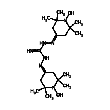 CC1(C)CC(=NNC(=N)NN=C2CC(C)(C)N(O)C(C)(C)C2)CC(C)(C)N1O